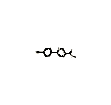 COC(=O)c1ccc(-c2ccc(C#N)cc2)nc1